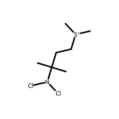 C[S+](C)CCC(C)(C)N(Cl)Cl